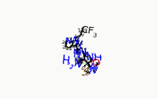 CC1(c2nncs2)C(=O)Nc2nc(-c3nn(CCCC(F)(F)F)c4ncccc34)nc(N)c21